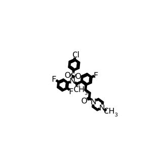 C[C@H](c1ccc(F)cc1CCC(=O)N1CCN(C)CC1)N(c1cc(F)ccc1F)S(=O)(=O)c1ccc(Cl)cc1